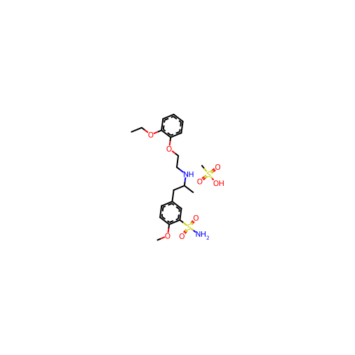 CCOc1ccccc1OCCNC(C)Cc1ccc(OC)c(S(N)(=O)=O)c1.CS(=O)(=O)O